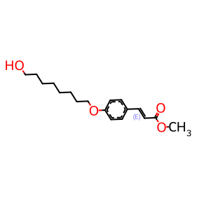 COC(=O)/C=C/c1ccc(OCCCCCCCCO)cc1